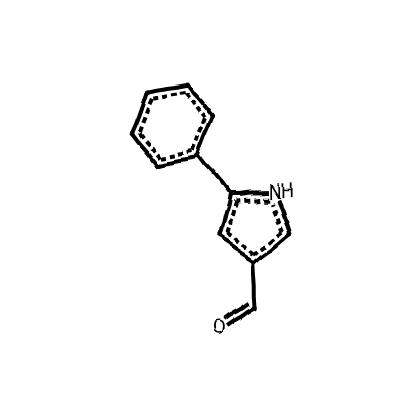 O=Cc1c[nH]c(-c2ccccc2)c1